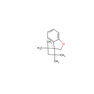 CC1(C)CC(C)(C)C12COc1ccccc12